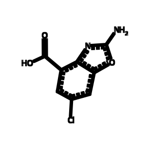 Nc1nc2c(C(=O)O)cc(Cl)cc2o1